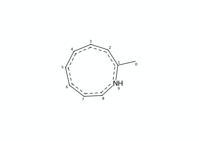 Cc1ccccccc[nH]1